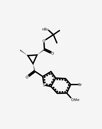 CCCCC(C)(C)OC(=O)[C@H]1[C@@H](C)[C@H]1C(=O)c1cc2cc(Br)c(OC)cc2s1